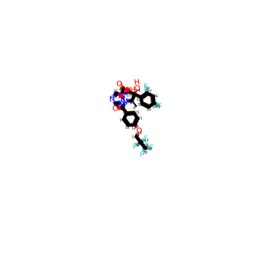 C[C@@H](N(CC(=O)O)C(=O)c1ccc(OCC(F)(F)C(F)F)cc1)[C@](O)(Cn1cncn1)c1ccc(F)cc1F